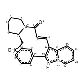 O=CC[C@H]1CCCCN1C(=O)C=Cc1c(-c2ccccc2)nn2ccccc12